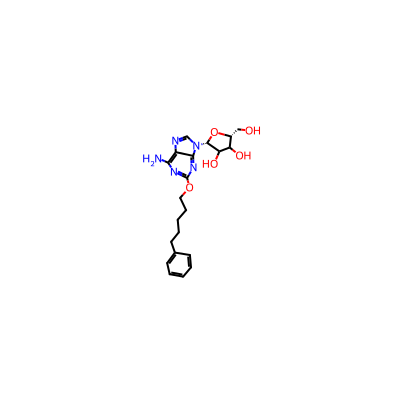 Nc1nc(OCCCCCc2ccccc2)nc2c1ncn2[C@@H]1O[C@H](CO)C(O)C1O